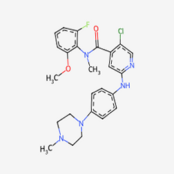 COc1cccc(F)c1N(C)C(=O)c1cc(Nc2ccc(N3CCN(C)CC3)cc2)ncc1Cl